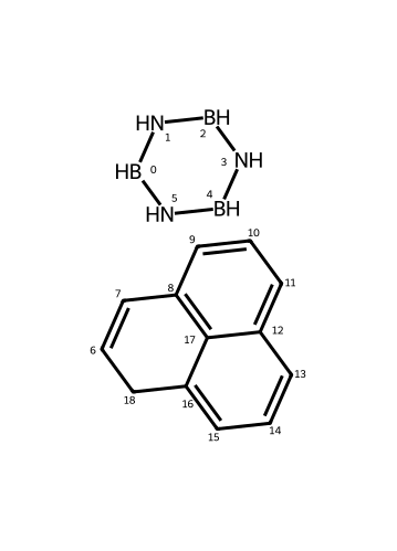 B1NBNBN1.C1=Cc2cccc3cccc(c23)C1